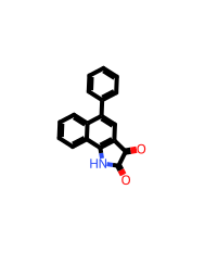 O=C1Nc2c(cc(-c3ccccc3)c3ccccc23)C1=O